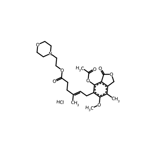 COc1c(C)c2c(c(OC(C)=O)c1C/C=C(\C)CCC(=O)OCCN1CCOCC1)C(=O)OC2.Cl